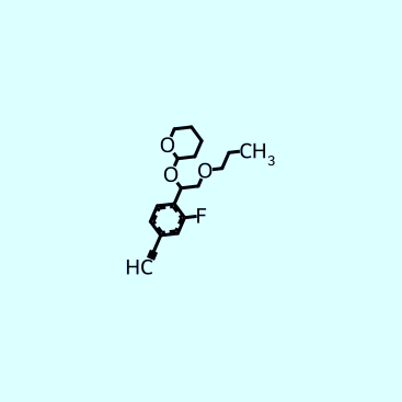 C#Cc1ccc(C(COCCC)OC2CCCCO2)c(F)c1